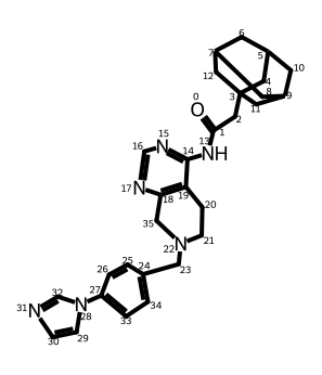 O=C(CC12CC3CC(CC(C3)C1)C2)Nc1ncnc2c1CCN(Cc1ccc(-n3ccnc3)cc1)C2